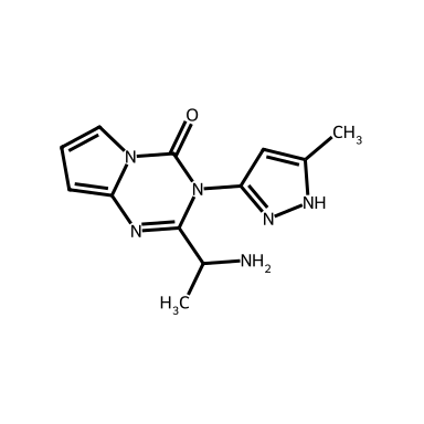 Cc1cc(-n2c(C(C)N)nc3cccn3c2=O)n[nH]1